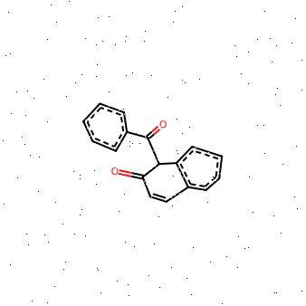 O=C1C=Cc2ccccc2C1C(=O)c1ccccc1